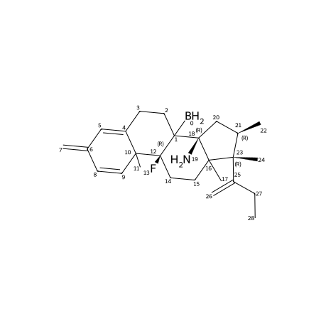 BC12CCC3=CC(=C)C=CC3(C)[C@@]1(F)CCC1(C)[C@@]2(N)C[C@@H](C)[C@]1(C)C(=C)CC